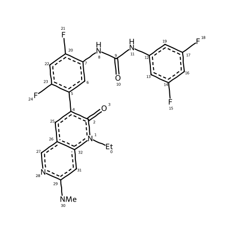 CCn1c(=O)c(-c2cc(NC(=O)Nc3cc(F)cc(F)c3)c(F)cc2F)cc2cnc(NC)cc21